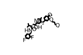 COCCCOc1cc(C[C@@H](C[C@H](N)[C@@H](O)C[C@H](C(=O)NCc2ccc(F)cc2F)C(C)C)C(C)C)ccc1OC